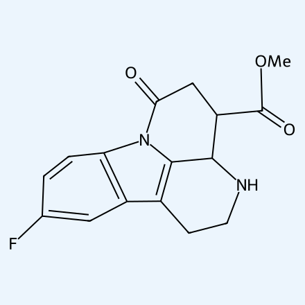 COC(=O)C1CC(=O)n2c3c(c4cc(F)ccc42)CCNC31